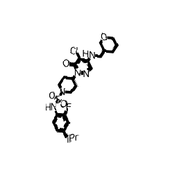 CC(C)c1ccc(NS(=O)(=O)N2CCC(n3ncc(NCC4CCCOC4)c(Cl)c3=O)CC2)c(F)c1